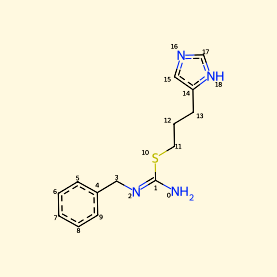 NC(=NCc1ccccc1)SCCCc1cnc[nH]1